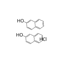 Cl.Oc1ccc2ccccc2c1.Oc1ccc2ccccc2c1